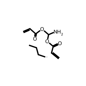 C=CC(=O)OC(N)OC(=O)C=C.[CH2]CCC